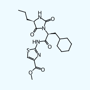 CCC[C@H]1NC(=O)N([C@@H](CC2CCCCC2)C(=O)Nc2nc(C(=O)OC)cs2)C1=O